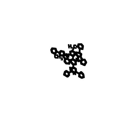 Cc1ccccc1-c1ccc2c(c1)c1ccccc1n2-c1ccccc1-c1ccc(-c2cc(-c3ccccc3)nc(-c3ccccc3)n2)cc1-n1c2ccccc2c2cc(-c3ccccc3C)ccc21